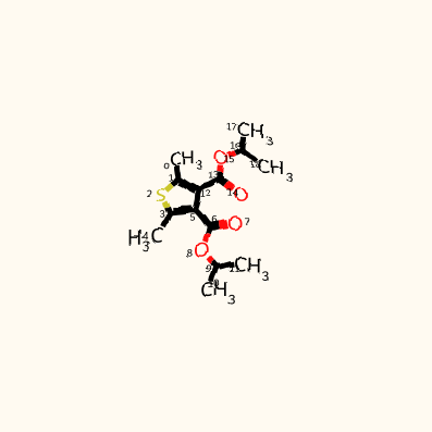 Cc1sc(C)c(C(=O)OC(C)C)c1C(=O)OC(C)C